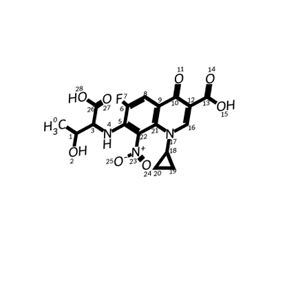 CC(O)C(Nc1c(F)cc2c(=O)c(C(=O)O)cn(C3CC3)c2c1[N+](=O)[O-])C(=O)O